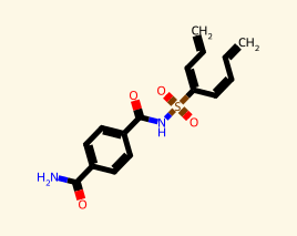 C=C/C=C\C(=C/C=C)S(=O)(=O)NC(=O)c1ccc(C(N)=O)cc1